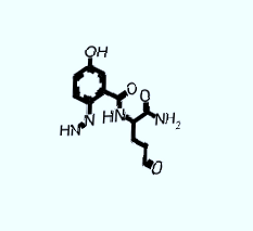 N=Nc1ccc(O)cc1C(=O)NC(CCC=O)C(N)=O